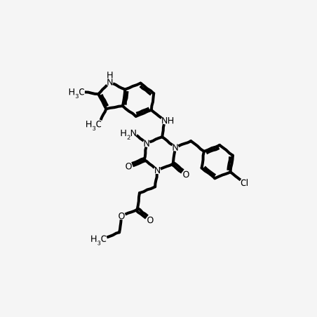 CCOC(=O)CCN1C(=O)N(N)C(Nc2ccc3[nH]c(C)c(C)c3c2)N(Cc2ccc(Cl)cc2)C1=O